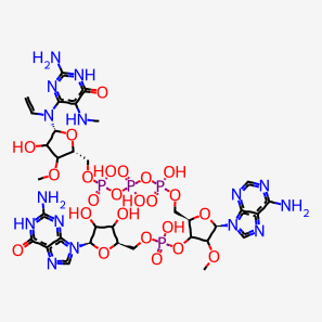 C=CN(c1nc(N)[nH]c(=O)c1NC)[C@@H]1O[C@H](COP(=O)(O)OP(=O)(O)OP(=O)(O)OC[C@H]2O[C@@H](n3cnc4c(N)ncnc43)C(OC)C2OP(=O)(O)OC[C@H]2O[C@@H](n3cnc4c(=O)[nH]c(N)nc43)C(O)C2O)C(OC)C1O